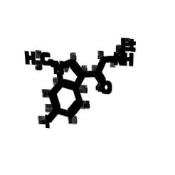 CCNCC(=O)c1cn(C)c2cc(I)ccc12